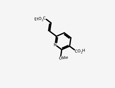 CCOC(=O)/C=C/c1ccc(C(=O)O)c(OC)n1